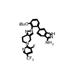 CC(C)COc1cccc(-c2ccc3c(N)n[nH]c3c2)c1-n1cc2c(n1)CCN(c1ncc(C(F)(F)F)cc1F)C2